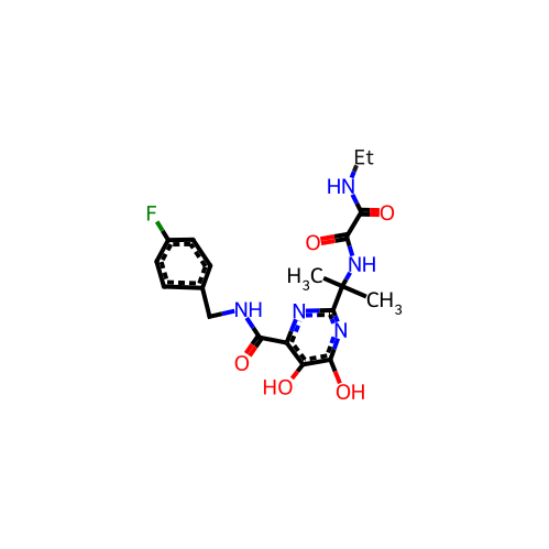 CCNC(=O)C(=O)NC(C)(C)c1nc(O)c(O)c(C(=O)NCc2ccc(F)cc2)n1